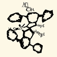 CCCCCCCC1=Cc2c(-c3ccccc3)ccc(-c3ccccc3)c2[CH]1[Zr]([CH3])([CH3])(=[SiH2])[CH]1C(CCCCCCC)=Cc2c(-c3ccccc3)ccc(-c3ccccc3)c21.Cl.Cl